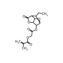 C=C(C)C(=O)OCC(=O)OC1C2OC3C1OC(=O)C3C2CC